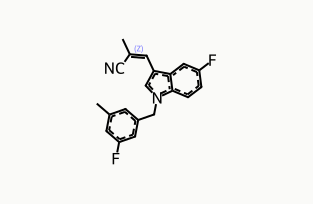 C/C(C#N)=C/c1cn(Cc2cc(C)cc(F)c2)c2ccc(F)cc12